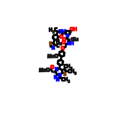 COC(=O)C[C@@H]1N=C(c2ccc(-c3ccc(OCC(=O)N[C@H](C(=O)N4C[C@H](O)C[C@H]4C(=O)N[C@@H](C)c4ccc(-c5scnc5C)cc4)C(C)(C)C)cc3OC)cc2)c2c(sc(C)c2C)-n2c(C)nnc21